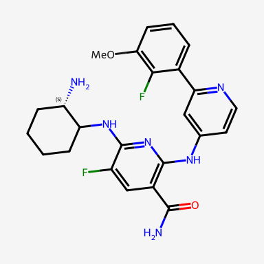 COc1cccc(-c2cc(Nc3nc(NC4CCCC[C@@H]4N)c(F)cc3C(N)=O)ccn2)c1F